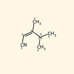 CC(=CC#N)N(C)C